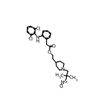 CC(C)(CN1CCC(CCOC(=O)Cc2ccccc2Nc2c(Cl)cccc2Cl)CC1)SN=O